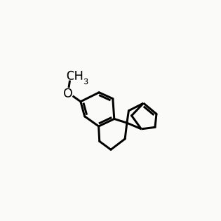 COc1ccc2c(c1)CCCC21CC2=CCC1C2